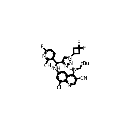 Cc1nc(F)ccc1C(Nc1cc(Cl)c2ncc(C#N)c(NCC(C)(C)C)c2c1)c1cn(C2CC(F)(F)C2)nn1